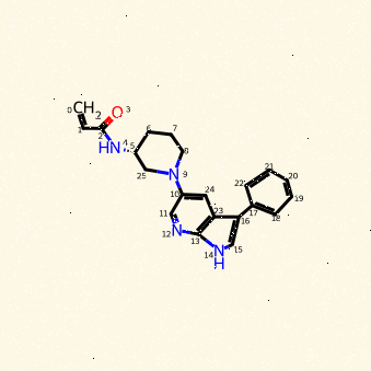 C=CC(=O)N[C@@H]1CCCN(c2cnc3[nH]cc(-c4ccccc4)c3c2)C1